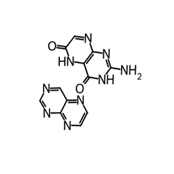 Nc1nc2ncc(=O)[nH]c2c(=O)[nH]1.c1cnc2ncncc2n1